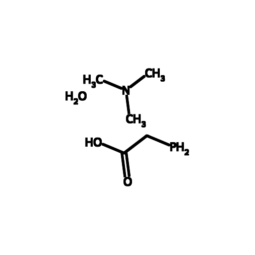 CN(C)C.O.O=C(O)CP